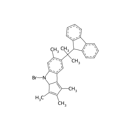 CC1=C(C)C2C(=C1C)c1cc(C(C)(C)C3c4ccccc4-c4ccccc43)c(C)cc1N2Br